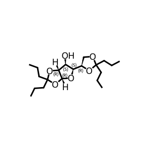 CCCC1(CCC)O[C@H]2O[C@H]([C@H]3COC(CCC)(CCC)O3)[C@H](O)[C@H]2O1